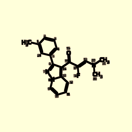 Cc1cccc(-c2nn3ccccc3c2C(=O)C(F)=CN(C)C)c1